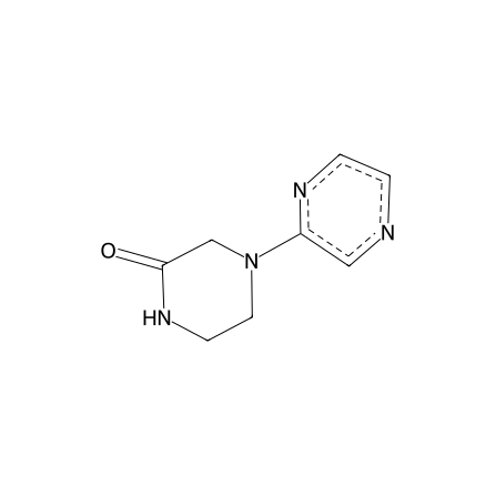 O=C1CN(c2cnccn2)CCN1